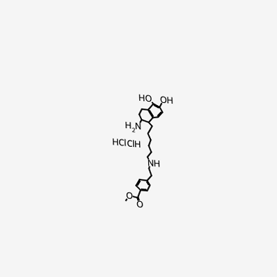 COC(=O)c1ccc(CCNCCCCCCC2c3ccc(O)c(O)c3CCC2N)cc1.Cl.Cl